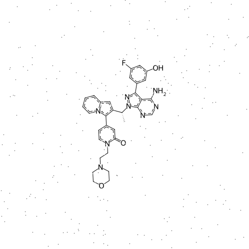 C[C@H](c1cc2ccccn2c1-c1ccn(CCN2CCOCC2)c(=O)c1)n1nc(-c2cc(O)cc(F)c2)c2c(N)ncnc21